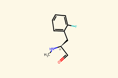 CN[C@H](C=O)Cc1ccccc1F